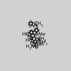 COc1ccc(CN(C)Cc2ccccc2)cc1-c1ccc(O)c2c1CC1CC3C(C(=O)C(C(N)=O)=C(O)[C@H]3N(C)C)C(O)=C1C2=O